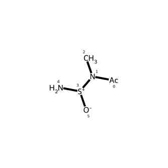 CC(=O)N(C)[S+](N)[O-]